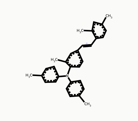 Cc1ccc(N(c2ccc(C)cc2)c2ccc(/C=C/c3ccc(C)cc3C)cc2C)cc1